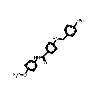 CC(C)(C)c1ccc(CNc2ccc(C(=O)Nc3ccc(OC(F)(F)F)cc3)cc2)cc1